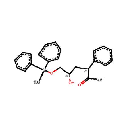 CC(C)(C)[Si](OC[C@@H](O)C[C@H](C(=O)[Se])c1ccccc1)(c1ccccc1)c1ccccc1